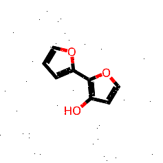 Oc1ccoc1-c1ccco1